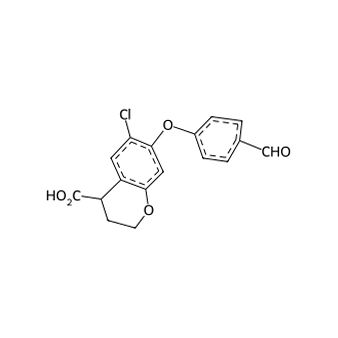 O=Cc1ccc(Oc2cc3c(cc2Cl)C(C(=O)O)CCO3)cc1